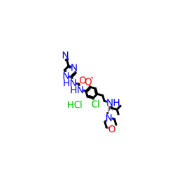 COc1cc(CCN[C@@H](CN2CCOCC2)C(C)C)c(Cl)cc1NC(=O)Nc1cnc(C#N)cn1.Cl